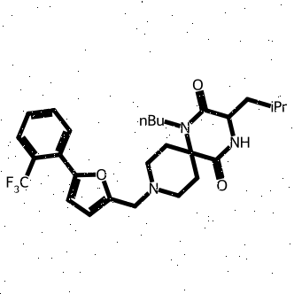 CCCCN1C(=O)C(CC(C)C)NC(=O)C12CCN(Cc1ccc(-c3ccccc3C(F)(F)F)o1)CC2